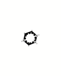 [c]1cnncn1